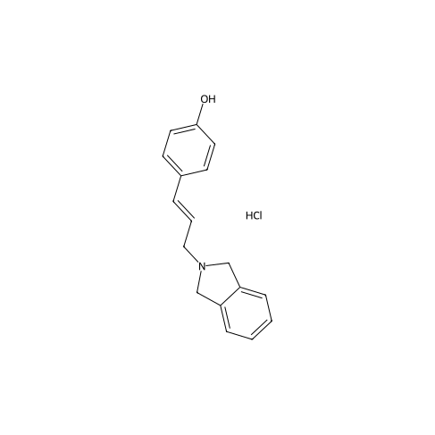 Cl.Oc1ccc(C=CCN2Cc3ccccc3C2)cc1